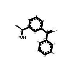 C[C@H](O)c1cccc(C(=O)c2ccccc2)c1